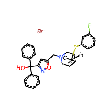 OC(c1ccccc1)(c1ccccc1)c1cc(C[N+]23CCC(CC2)[C@@H](Sc2cccc(F)c2)C3)on1.[Br-]